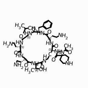 CC(=O)NC1(C(=O)N[C@H]2CCNC(=O)[C@H]([C@@H](C)O)NC(=O)[C@H](CCN)NC(=O)[C@H](CCN)NC(=O)[C@H](CC(C)C)NC(=O)[C@@H](Cc3ccccc3)NC(=O)[C@H](CCN)NC2=O)CCNCC1